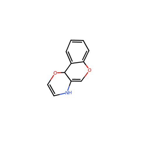 C1=COC2C(=COc3ccccc32)N1